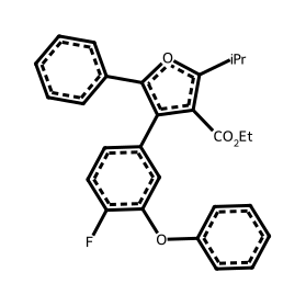 CCOC(=O)c1c(C(C)C)oc(-c2ccccc2)c1-c1ccc(F)c(Oc2ccccc2)c1